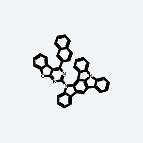 c1ccc2cc(-c3nc(-n4c5ccccc5c5cc6c7ccccc7n7c8ccccc8c(c54)c67)nc4oc5ccccc5c34)ccc2c1